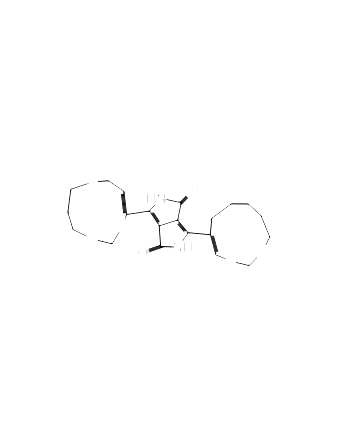 O=C1NC(/C2=C/CCCCCCCC2)=C2C(=O)NC(/C3=C/CCCCCCCC3)=C12